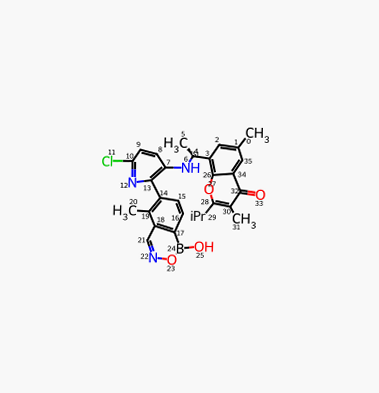 Cc1cc([C@H](C)Nc2ccc(Cl)nc2-c2ccc3c(c2C)C=NOB3O)c2oc(C(C)C)c(C)c(=O)c2c1